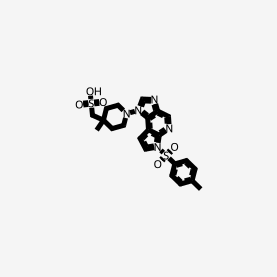 Cc1ccc(S(=O)(=O)n2ccc3c4c(cnc32)ncn4N2CCC(C)(CS(=O)(=O)O)CC2)cc1